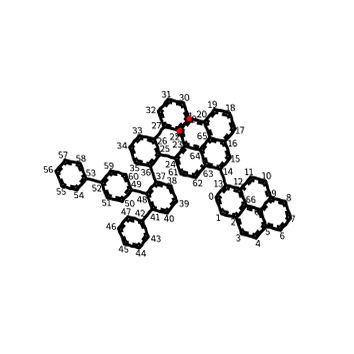 [c]1cc2ccc3cccc4ccc(c1-c1cc5cccc6ccc7c(-c8c(-c9ccccc9)cccc8-c8cccc(-c9ccccc9)c8-c8ccc(-c9ccccc9)cc8)ccc1c7c65)c2c34